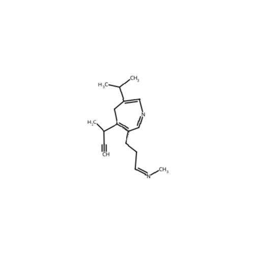 C#CC(C)C1=C(CC/C=N\C)C=NC=C(C(C)C)C1